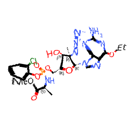 CCOc1nc(N)nc2c1ncn2[C@@H]1O[C@H](COP(=O)(N[C@@H](C)C(=O)OC)Oc2ccccc2Cl)[C@@H](O)[C@@]1(C)N=[N+]=[N-]